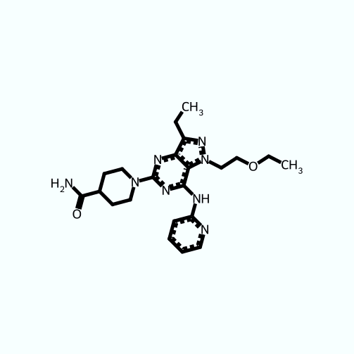 CCOCCn1nc(CC)c2nc(N3CCC(C(N)=O)CC3)nc(Nc3ccccn3)c21